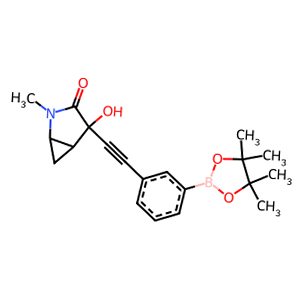 CN1C(=O)C(O)(C#Cc2cccc(B3OC(C)(C)C(C)(C)O3)c2)C2CC21